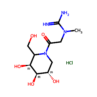 CN(CC(=O)N1C[C@H](O)[C@@H](O)[C@@H](O)C1CO)C(=N)N.Cl